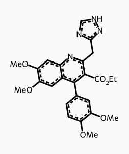 CCOC(=O)c1c(Cc2nc[nH]n2)nc2cc(OC)c(OC)cc2c1-c1ccc(OC)c(OC)c1